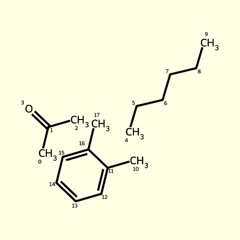 CC(C)=O.CCCCCC.Cc1ccccc1C